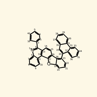 c1ccc(-c2nc3ccccc3c3c2ccc2c3oc3cccc(-c4cc5ccccc5c5ccccc45)c32)cc1